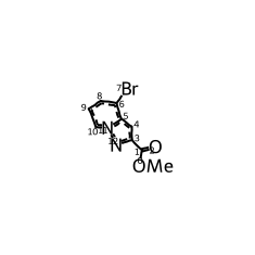 COC(=O)c1cc2c(Br)cccn2n1